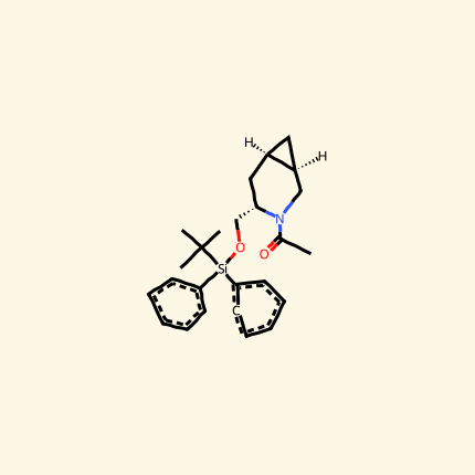 CC(=O)N1C[C@@H]2C[C@@H]2C[C@H]1CO[Si](c1ccccc1)(c1ccccc1)C(C)(C)C